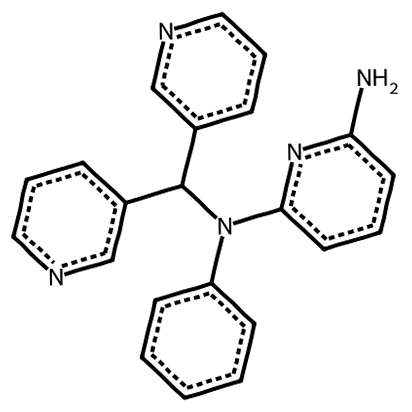 Nc1cccc(N(c2ccccc2)C(c2cccnc2)c2cccnc2)n1